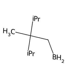 BCC(C)(C(C)C)C(C)C